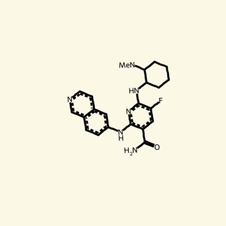 CNC1CCCCC1Nc1nc(Nc2ccc3cnccc3c2)c(C(N)=O)cc1F